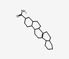 NC(=O)C1CCC2C(CCC3C4=C(CCC32)C2CCCCC2CC4)C1